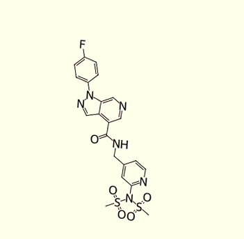 CS(=O)(=O)N(c1cc(CNC(=O)c2cncc3c2cnn3-c2ccc(F)cc2)ccn1)S(C)(=O)=O